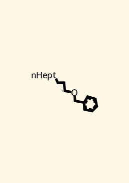 CCCCCCCCC[CH]OCc1ccccc1